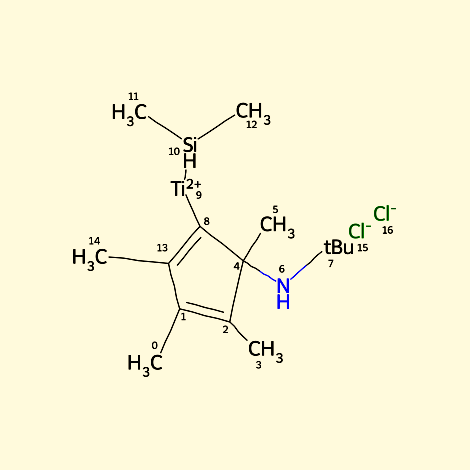 CC1=C(C)C(C)(NC(C)(C)C)[C]([Ti+2][SiH](C)C)=C1C.[Cl-].[Cl-]